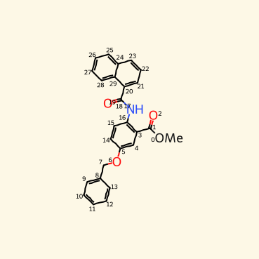 COC(=O)c1cc(OCc2ccccc2)ccc1NC(=O)c1cccc2ccccc12